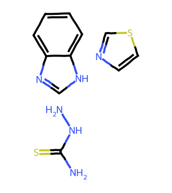 NNC(N)=S.c1ccc2[nH]cnc2c1.c1cscn1